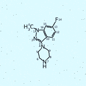 Cn1nc(N2CCNCC2)c2ccc(F)cc21